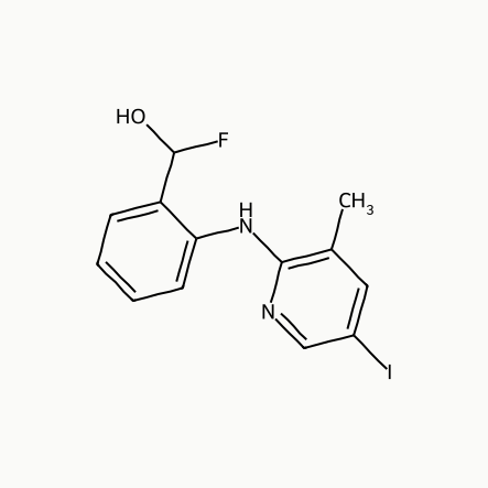 Cc1cc(I)cnc1Nc1ccccc1C(O)F